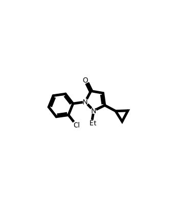 CCn1c(C2CC2)cc(=O)n1-c1ccccc1Cl